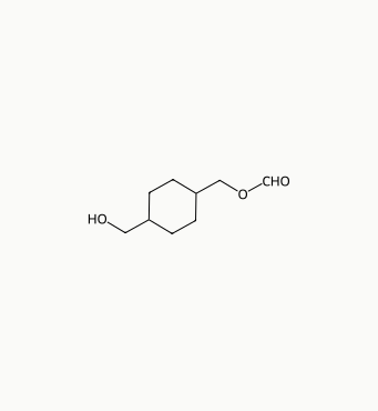 O=COCC1CCC(CO)CC1